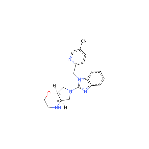 N#Cc1ccc(Cn2c(N3C[C@@H]4OCCN[C@@H]4C3)nc3ccccc32)nc1